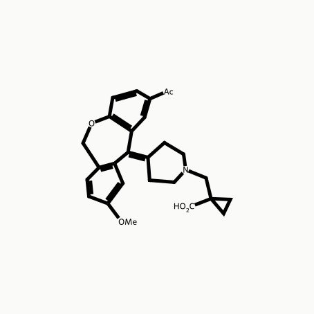 COc1ccc2c(c1)C(=C1CCN(CC3(C(=O)O)CC3)CC1)c1cc(C(C)=O)ccc1OC2